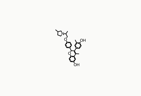 CC1=C(c2ccc(O)c(C)c2)C(c2ccc(OCC(C)N3CCC(C)C3)cc2)Oc2ccc(O)cc21